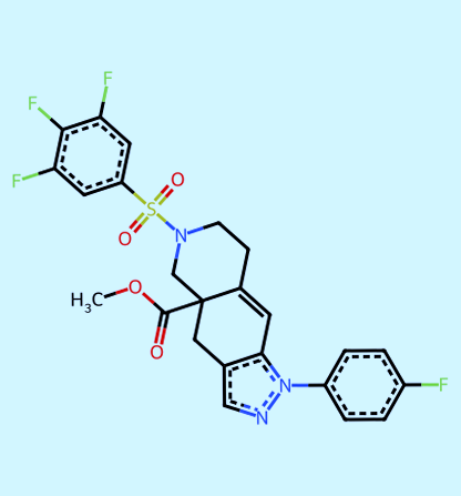 COC(=O)C12Cc3cnn(-c4ccc(F)cc4)c3C=C1CCN(S(=O)(=O)c1cc(F)c(F)c(F)c1)C2